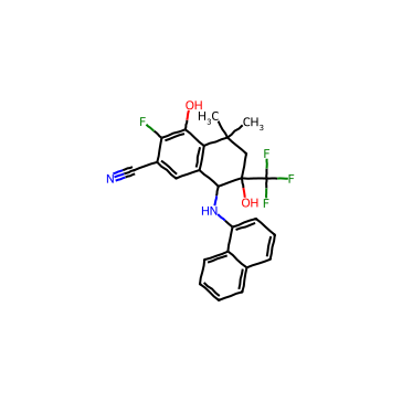 CC1(C)CC(O)(C(F)(F)F)C(Nc2cccc3ccccc23)c2cc(C#N)c(F)c(O)c21